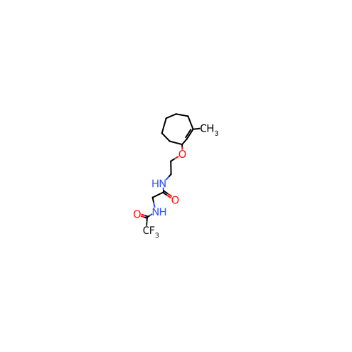 C/C1=C/C(OCCNC(=O)CNC(=O)C(F)(F)F)CCCCC1